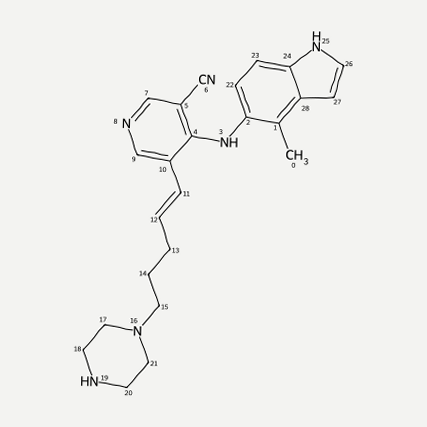 Cc1c(Nc2c(C#N)cncc2/C=C/CCCN2CCNCC2)ccc2[nH]ccc12